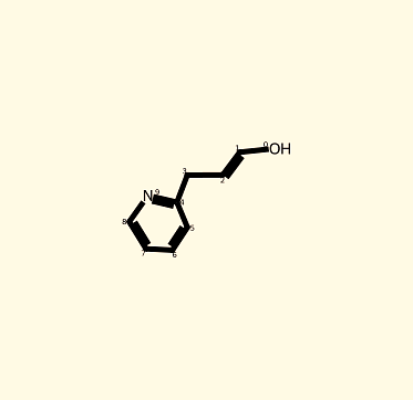 O/C=C/Cc1ccc[c]n1